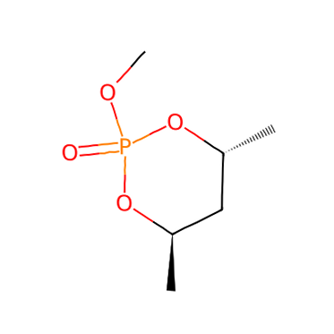 COP1(=O)O[C@H](C)C[C@@H](C)O1